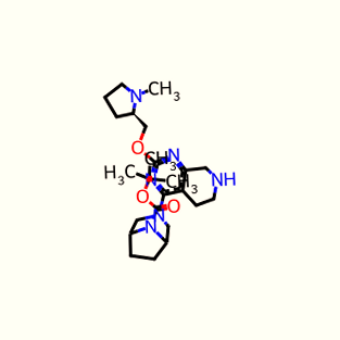 CN1CCC[C@@H]1COc1nc2c(c(N3CC4CCC(C3)N4C(=O)OC(C)(C)C)n1)CCNC2